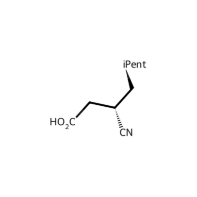 CCC[C@H](C)C[C@H](C#N)CC(=O)O